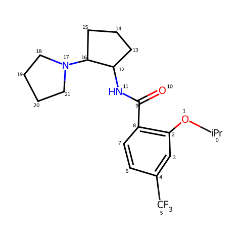 CC(C)Oc1cc(C(F)(F)F)ccc1C(=O)NC1CCCC1N1CCCC1